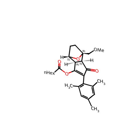 CCCCCCC(=O)OC1=C(c2c(C)cc(C)cc2C)C(=O)[C@H]2[C@@H]1[C@@H]1CC[C@@]2(COC)O1